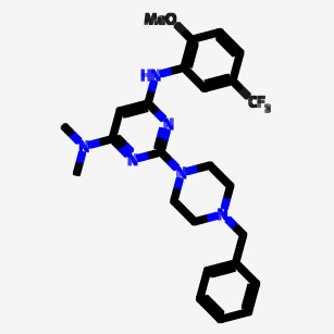 COc1ccc(C(F)(F)F)cc1Nc1cc(N(C)C)nc(N2CCN(Cc3ccccc3)CC2)n1